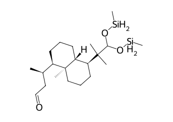 C[SiH2]OC(O[SiH2]C)C(C)(C)[C@H]1CCC[C@@]2(C)[C@@H]([C@H](C)CC=O)CCC[C@H]12